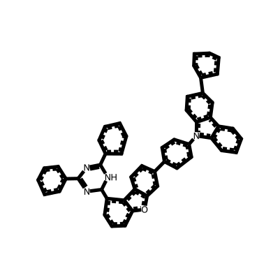 c1ccc(C2=NC(c3cccc4oc5cc(-c6ccc(-n7c8ccccc8c8cc(-c9ccccc9)ccc87)cc6)ccc5c34)NC(c3ccccc3)=N2)cc1